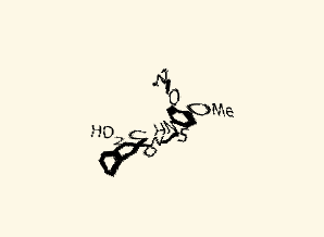 COc1cc2sc(CNC(=O)C3(CC(=O)O)Cc4ccccc4C3)nc2cc1OCCN(C)C